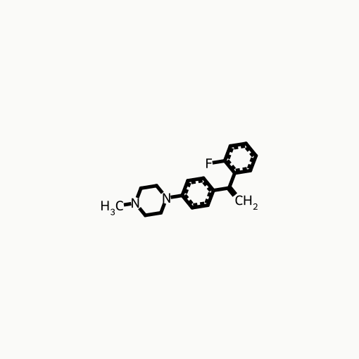 C=C(c1ccc(N2CCN(C)CC2)cc1)c1ccccc1F